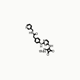 CC(C)(C)Nc1c(Nc2ccnc(Nc3ccc(CC(=O)NCc4cccnc4)cc3)n2)c(=O)c1=O